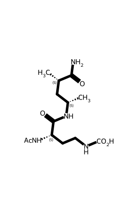 CC(=O)N[C@@H](CCNC(=O)O)C(=O)N[C@@H](C)C[C@H](C)C(N)=O